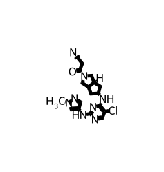 Cn1cc(Nc2ncc(Cl)c(NC3CC4CN(C(=O)CC#N)C[C@H]4C3)n2)cn1